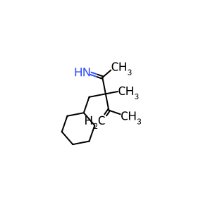 C=C(C)C(C)(CC1CCCCC1)C(C)=N